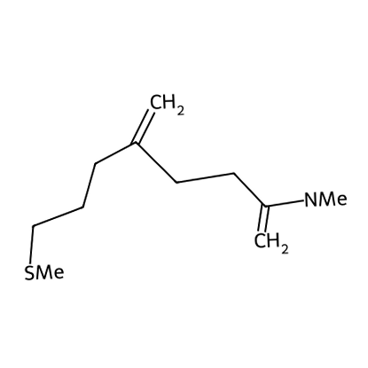 C=C(CCCSC)CCC(=C)NC